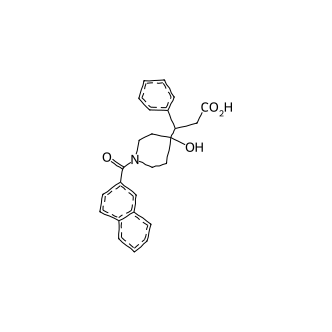 O=C(O)CC(c1ccccc1)C1(O)CCN(C(=O)c2ccc3ccccc3c2)CC1